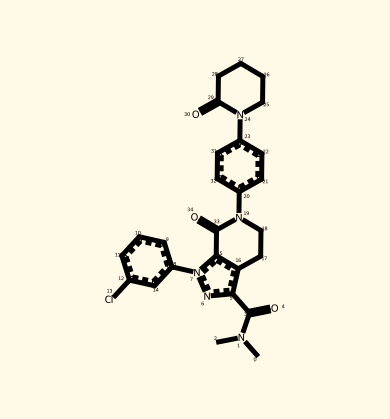 CN(C)C(=O)c1nn(-c2cccc(Cl)c2)c2c1CCN(c1ccc(N3CCCCC3=O)cc1)C2=O